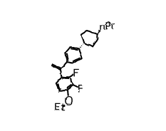 C=C(c1ccc([C@H]2CC[C@H](CCC)CC2)cc1)c1ccc(OCC)c(F)c1F